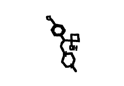 CN1CCN(CC(c2ccc(Cl)cc2)C2(O)CCC2)CC1